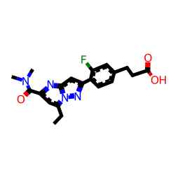 CCc1cc(C(=O)N(C)C)nc2cc(-c3ccc(CCC(=O)O)cc3F)nn12